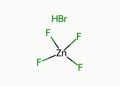 Br.[F][Zn]([F])([F])[F]